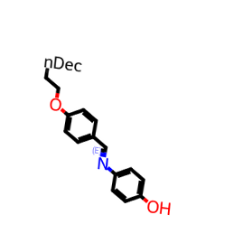 CCCCCCCCCCCCOc1ccc(/C=N/c2ccc(O)cc2)cc1